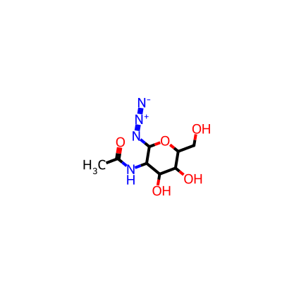 CC(=O)NC1C(N=[N+]=[N-])OC(CO)C(O)C1O